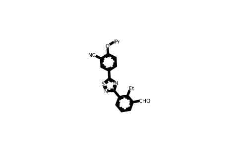 CCc1c(C=O)cccc1-c1nsc(-c2ccc(OC(C)C)c(C#N)c2)n1